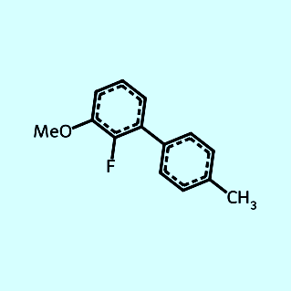 COc1cccc(-c2ccc(C)cc2)c1F